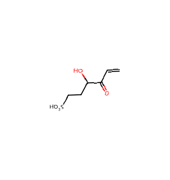 C=CC(=O)C(O)CCS(=O)(=O)O